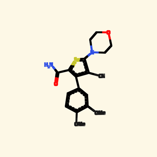 COc1ccc(-c2c(C(N)=O)sc(N3CCOCC3)c2C#N)cc1OC